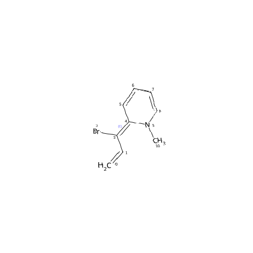 C=C/C(Br)=C1/C=CC=CN1C